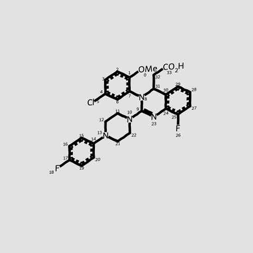 COc1ccc(Cl)cc1N1C(N2CCN(c3ccc(F)cc3)CC2)=Nc2c(F)cccc2C1CC(=O)O